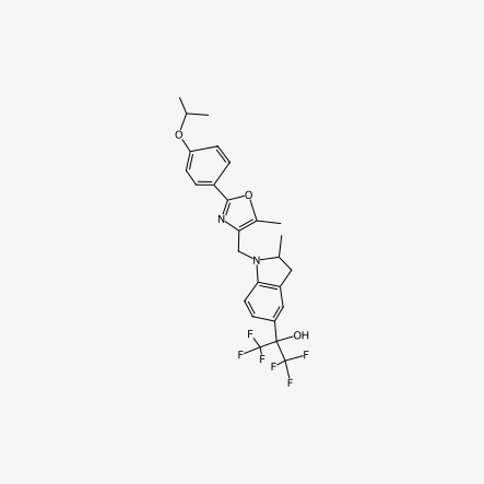 Cc1oc(-c2ccc(OC(C)C)cc2)nc1CN1c2ccc(C(O)(C(F)(F)F)C(F)(F)F)cc2CC1C